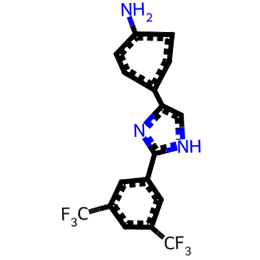 Nc1ccc(-c2c[nH]c(-c3cc(C(F)(F)F)cc(C(F)(F)F)c3)n2)cc1